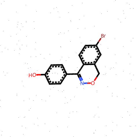 Oc1ccc(C2=NOCc3cc(Br)ccc32)cc1